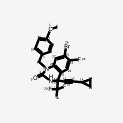 COc1ccc(CN2C(=O)NC(C#CC3CC3)(C(C)(F)F)c3cc(F)c(Br)cc32)cc1